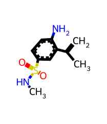 C=C(C)c1cc(S(=O)(=O)NC)ccc1N